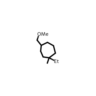 CCC1(C)CCCC(COC)CC1